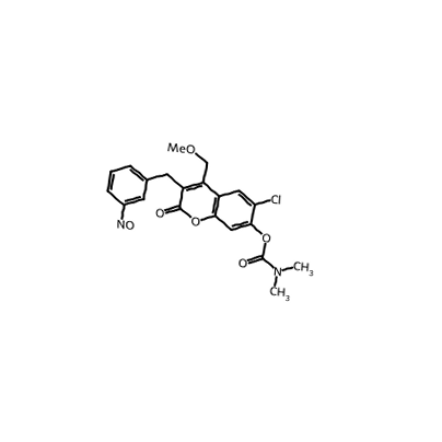 COCc1c(Cc2cccc(N=O)c2)c(=O)oc2cc(OC(=O)N(C)C)c(Cl)cc12